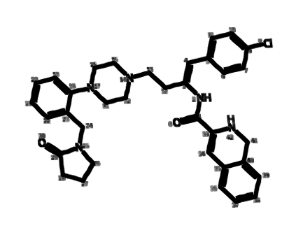 O=C(N/C(=C\c1ccc(Cl)cc1)CCN1CCN(c2ccccc2CN2CCCC2=O)CC1)C1=Cc2ccccc2CN1